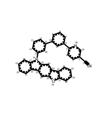 N#Cc1ccc(-c2cccc(-c3cccc(-n4c5ccccc5c5cc6oc7ccccc7c6cc54)c3)c2)nc1